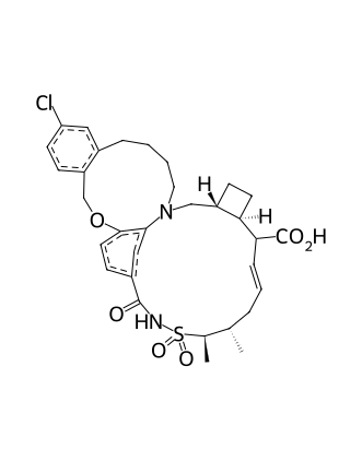 C[C@@H]1[C@@H](C)C/C=C/C(C(=O)O)[C@@H]2CC[C@H]2CN2CCCCc3cc(Cl)ccc3COc3ccc(cc32)C(=O)NS1(=O)=O